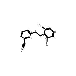 N#Cc1cccc(C[CH]c2c(F)cccc2F)c1